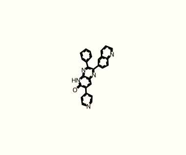 O=c1[nH]c2nc(-c3ccccc3)c(-c3ccc4ncccc4c3)nc2cc1-c1ccncc1